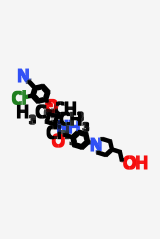 CC1(C)[C@](C)(NC(=O)c2ccc(N3CCC(CCO)CC3)cc2)C[C@@]1(C)Oc1ccc(C#N)c(Cl)c1